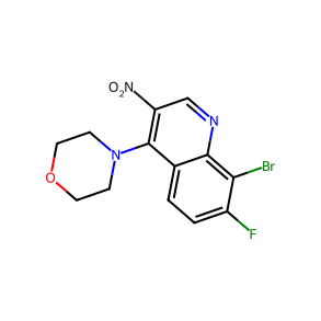 O=[N+]([O-])c1cnc2c(Br)c(F)ccc2c1N1CCOCC1